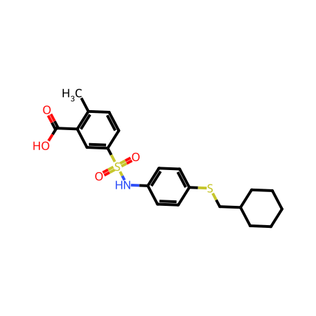 Cc1ccc(S(=O)(=O)Nc2ccc(SCC3CCCCC3)cc2)cc1C(=O)O